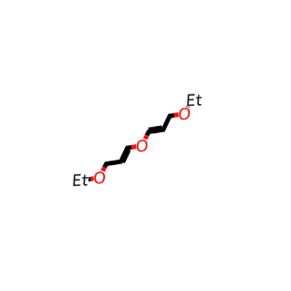 CCOCC=COC=CCOCC